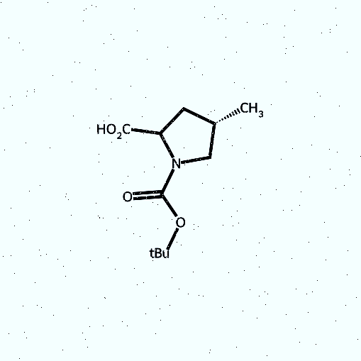 C[C@H]1CC(C(=O)O)N(C(=O)OC(C)(C)C)C1